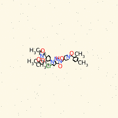 Cc1ccc(C(=O)N2CCC(O)(Cn3cnc4c(cc(Cl)n4-c4ccc([C@@H]5CO[C@@H](C)CN5C(=O)OC(C)(C)C)cc4)c3=O)CC2)c(C)c1